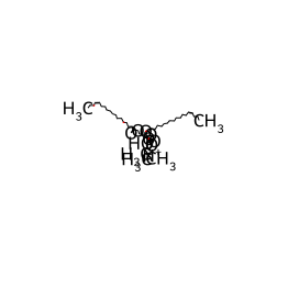 CCC/C=C\CCCCCCCCCCCCC(=O)OC[C@H](COP(=O)(O)OCC[N+](C)(C)C)OC(=O)CCCCCCCCCCCC/C=C\CCC